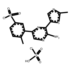 Cc1ncc(-c2nc(-c3cc(S(=O)(=O)Cl)ccc3C)cnc2N)s1.O=S(=O)(O)Cl